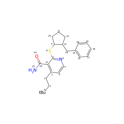 CC(C)(C)CCc1ccnc(SC2CCCC2Cc2ccccc2)c1C(N)=O